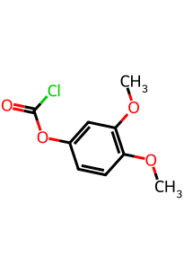 COc1ccc(OC(=O)Cl)cc1OC